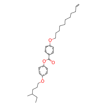 C=CCCCCCCCCCOc1ccc(C(=O)Oc2ccc(OCCCC(C)CC)cc2)cc1